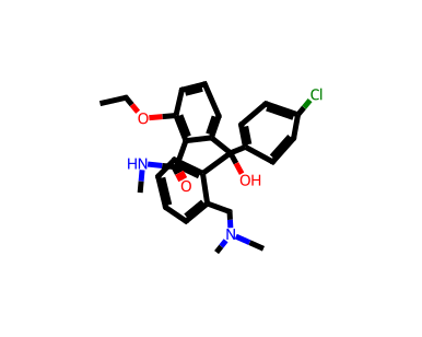 CCOc1cccc(C(O)(c2ccc(Cl)cc2)c2ccccc2CN(C)C)c1C(=O)NC